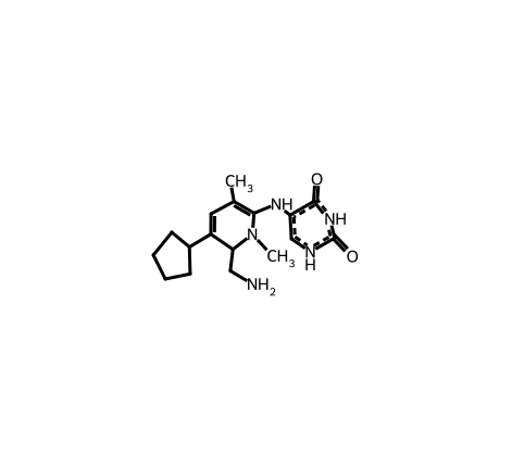 CC1=C(Nc2c[nH]c(=O)[nH]c2=O)N(C)C(CN)C(C2CCCC2)=C1